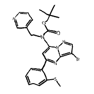 CSc1ccccc1-c1cc(N(Cc2cccnc2)C(=O)OC(C)(C)C)n2ncc(Br)c2n1